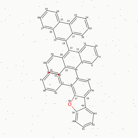 c1ccc(-c2c(-c3c4ccccc4c(-c4cc5ccccc5c5ccccc45)c4ccccc34)ccc3c2oc2ccccc23)cc1